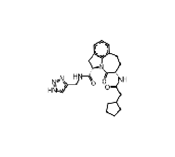 O=C(CC1CCCC1)N[C@H]1CCc2cccc3c2N(C1=O)[C@H](C(=O)NCc1c[nH]nn1)C3